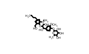 CCCCc1cc(CO)c(OC(CO)C(O)c2ccc(OC3OC(C)C(O)C(O)C3O)c(OC)c2)c(OC)c1